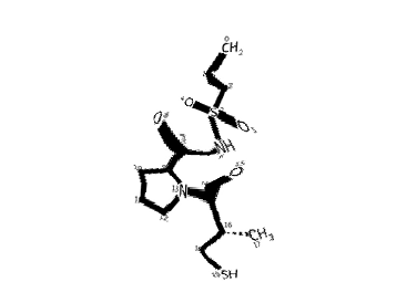 C=CCS(=O)(=O)NC(=O)C1CCCN1C(=O)[C@H](C)CS